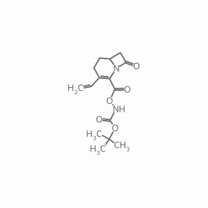 C=CC1=C(C(=O)ONC(=O)OC(C)(C)C)N2C(=O)CC2CC1